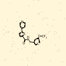 O=C(NCc1cccc(OC(F)(F)F)c1)c1ccc(-c2ccncc2)s1